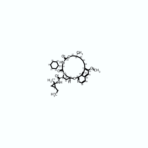 CCC1CC1(C)NC(=O)[C@@H]1C[C@@H]2CN1C(=O)[C@H](C1CCCCC1)NC(=O)OC[C@H](C)CCCc1cc3c(nccc3cc1OC)O2